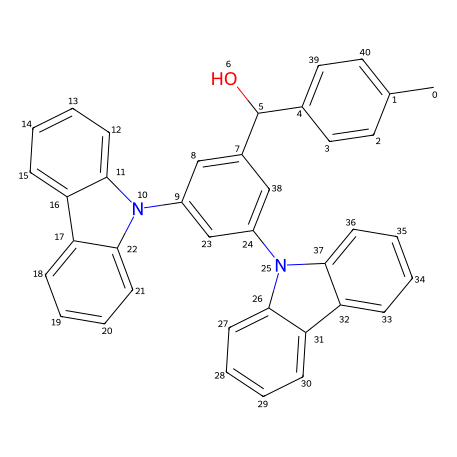 Cc1ccc(C(O)c2cc(-n3c4ccccc4c4ccccc43)cc(-n3c4ccccc4c4ccccc43)c2)cc1